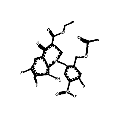 Bc1c(F)c(F)cc2c(=O)c(C(=O)OCC)cn(-c3cc([N+](=O)[O-])c(F)cc3COC(C)=O)c12